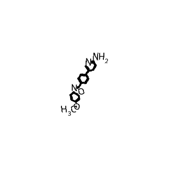 COc1ccc2nc(-c3ccc(-c4ccc(N)nc4)cc3)oc2c1